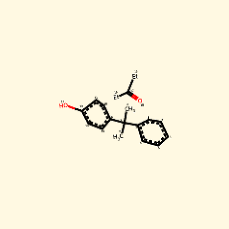 CC(C)(c1ccccc1)c1ccc(O)cc1.CCC(=O)CC